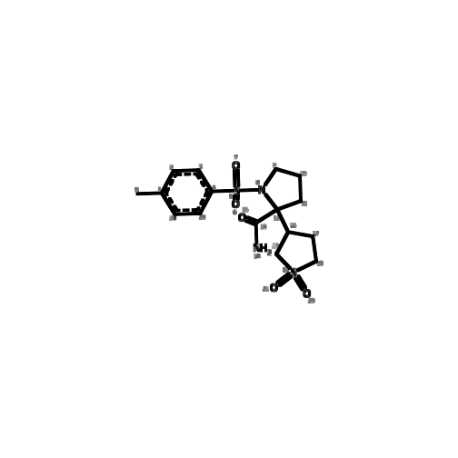 Cc1ccc(S(=O)(=O)N2CCCC2(C(N)=O)C2CCS(=O)(=O)C2)cc1